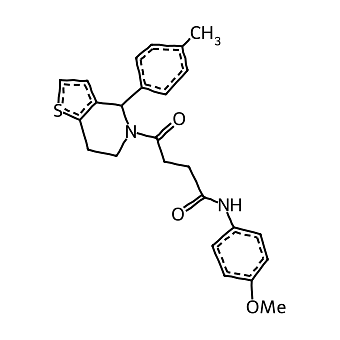 COc1ccc(NC(=O)CCC(=O)N2CCc3sccc3C2c2ccc(C)cc2)cc1